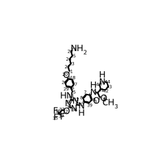 COC(=O)C(Nc1ccc(Nc2nc(NCc3ccc(OCCCCCCN)cc3)nc(OCC(F)(F)F)n2)cc1)C1CCCNC1